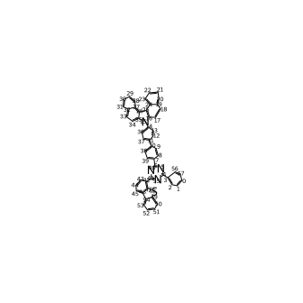 c1ccc(-c2nc(-c3ccc(-c4ccc(-n5c6ccc7ccccc7c6c6c7ccccc7ccc65)cc4)cc3)nc(-c3cccc4c3sc3ccccc34)n2)cc1